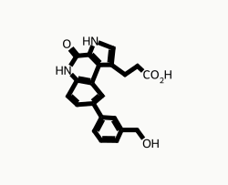 O=C(O)CCc1c[nH]c2c(=O)[nH]c3ccc(-c4cccc(CO)c4)cc3c12